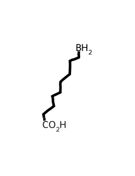 BCCCCCCCCC(=O)O